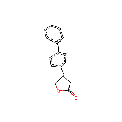 O=C1CC(c2ccc(-c3ccccc3)cc2)CO1